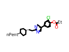 CCCCC[C@H]1CC[C@H](CCc2ncc(-c3ccc(OC(=O)CC)c(Cl)c3)cn2)CC1